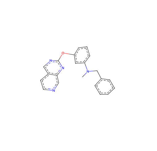 CN(Cc1ccccc1)c1cccc(Oc2ncc3ccncc3n2)c1